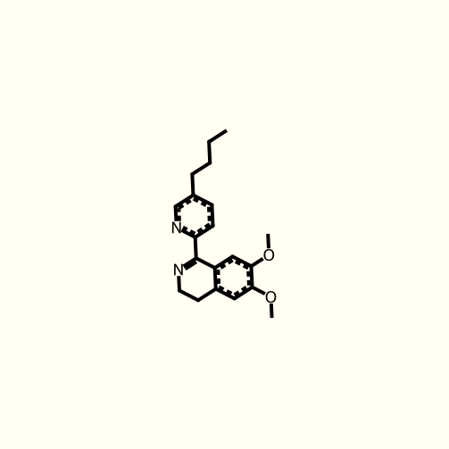 CCCCc1ccc(C2=NCCc3cc(OC)c(OC)cc32)nc1